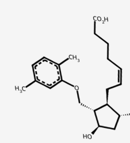 Cc1ccc(C)c(OC[C@@H]2[C@@H](C/C=C\CCCC(=O)O)[C@H](Cl)C[C@H]2O)c1